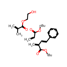 C=C(C)C(=O)OCCO.C=C(C=Cc1ccccc1)C(=O)OC(C)CC.C=CC(=O)OCCCC